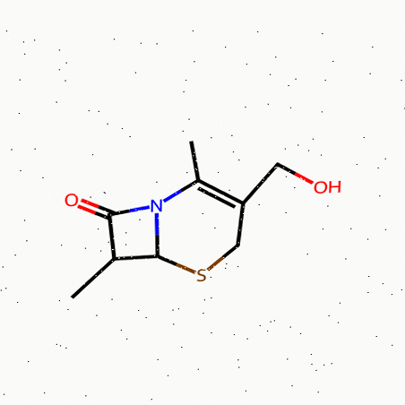 CC1=C(CO)CSC2C(C)C(=O)N12